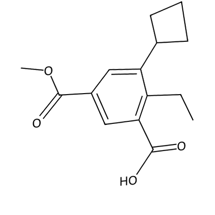 CCc1c(C(=O)O)cc(C(=O)OC)cc1C1CCC1